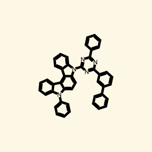 c1ccc(-c2cccc(-c3nc(-c4ccccc4)nc(-n4c5ccccc5c5c6c7ccccc7n(-c7ccccc7)c6ccc54)n3)c2)cc1